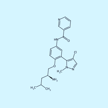 CC(C)C[C@H](N)COc1ccc(NC(=O)c2cccnc2)cc1-c1c(Cl)cnn1C